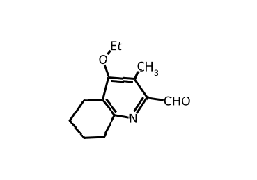 CCOc1c(C)c(C=O)nc2c1CCCC2